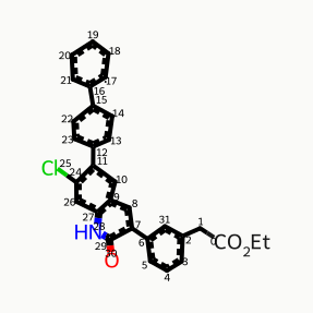 CCOC(=O)Cc1cccc(-c2cc3cc(-c4ccc(-c5[c]cccc5)cc4)c(Cl)cc3[nH]c2=O)c1